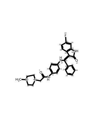 CN1CCN(CC(=O)Nc2ccc(NC(=C3C(=O)Nc4cc(F)ccc43)c3ccccc3)cc2)CC1